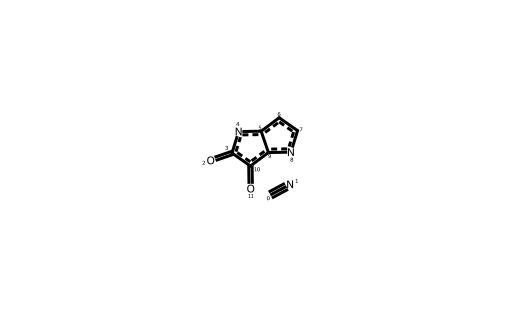 C#N.O=c1nc2ccnc-2c1=O